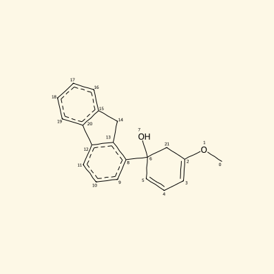 COC1=CC=CC(O)(c2cccc3c2Cc2ccccc2-3)C1